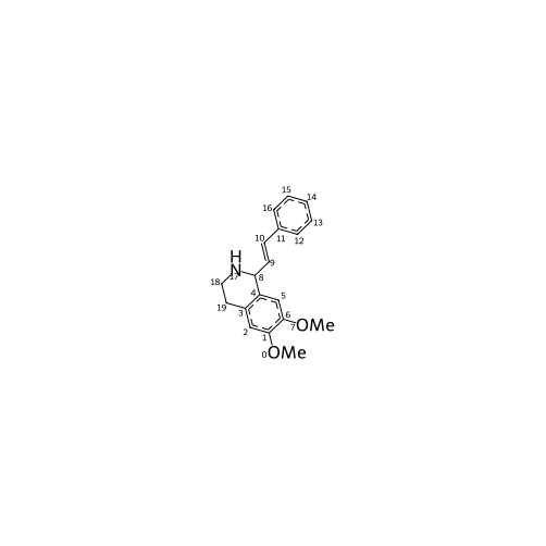 COc1cc2c(cc1OC)C(C=Cc1ccccc1)NCC2